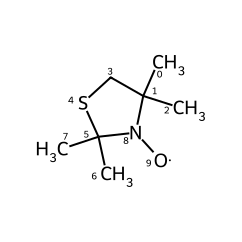 CC1(C)CSC(C)(C)N1[O]